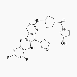 O=C(C1CCC(Nc2ncc3nc(Nc4c(F)cc(F)cc4F)n(C4CCOC4)c3n2)CC1)N1CC[C@@H](O)C1